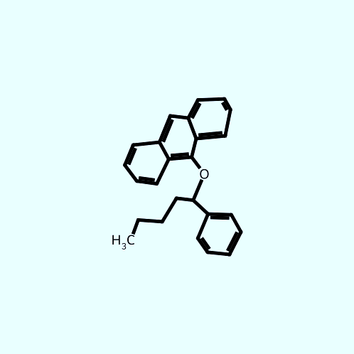 CCCCC(Oc1c2ccccc2cc2ccccc12)c1ccccc1